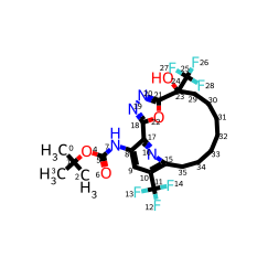 CC(C)(C)OC(=O)Nc1cc(C(F)(F)F)c2nc1-c1nnc(o1)C(O)(C(F)(F)F)CCCCCCC2